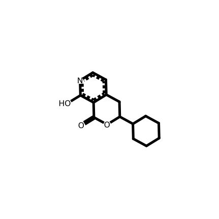 O=C1OC(C2CCCCC2)Cc2ccnc(O)c21